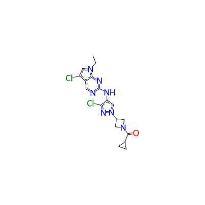 CCn1cc(Cl)c2cnc(Nc3cn(C4CN(C(=O)C5CC5)C4)nc3Cl)nc21